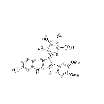 COc1cc2c(cc1OC)-c1c(c(Nc3cccc(C)c3)nn1[C@@H]1O[C@H](C(=O)O)[C@@H](O)[C@H](O)[C@H]1O)C2